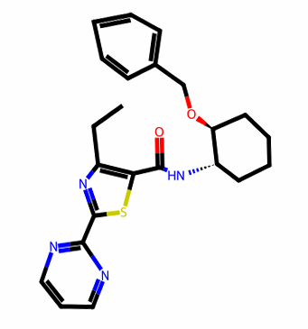 CCc1nc(-c2ncccn2)sc1C(=O)N[C@H]1CCCC[C@@H]1OCc1ccccc1